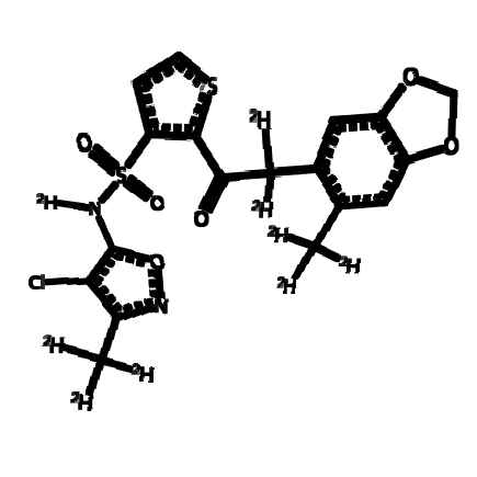 [2H]N(c1onc(C([2H])([2H])[2H])c1Cl)S(=O)(=O)c1ccsc1C(=O)C([2H])([2H])c1cc2c(cc1C([2H])([2H])[2H])OCO2